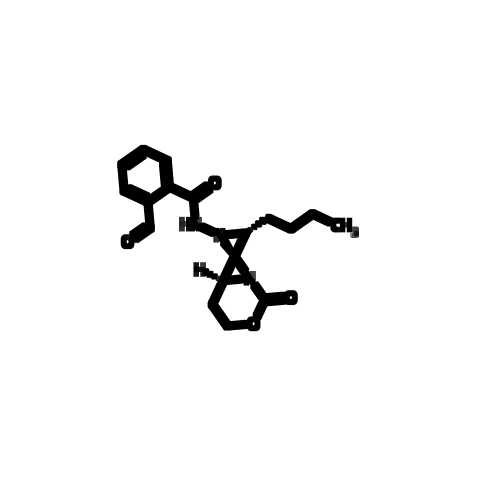 CCCC[C@H]1N(NC(=O)c2ccccc2C=O)[C@@]12[C@@H]1CCOC(=O)N12